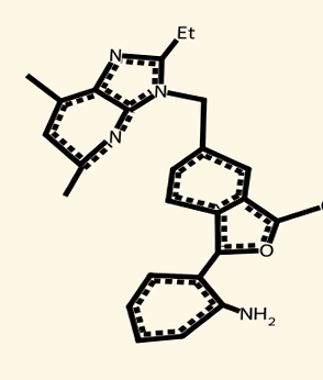 CCc1nc2c(C)cc(C)nc2n1Cc1ccc2c(-c3ccccc3N)oc(Cl)c2c1